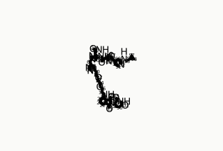 NC(=O)c1nn(Cc2cn(CCOCCOCCNc3cccc4c3C(=O)N(C3CCC(=O)NC3=O)C4=O)nn2)cc1NC(=O)c1coc(-c2ccnc(NCC3CC3)c2)n1